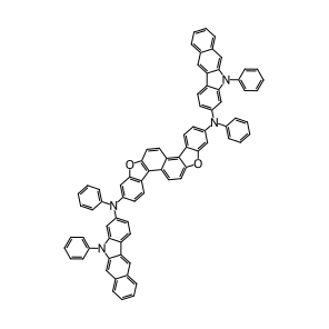 c1ccc(N(c2ccc3c(c2)oc2ccc4c(ccc5oc6cc(N(c7ccccc7)c7ccc8c9cc%10ccccc%10cc9n(-c9ccccc9)c8c7)ccc6c54)c23)c2ccc3c4cc5ccccc5cc4n(-c4ccccc4)c3c2)cc1